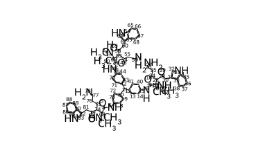 CN[C@](C)(C(=O)Nc1ccc(C(c2ccc(NC(=O)[C@@](C)(NC)C(CCCN)C(=O)Cc3c[nH]c4ccccc34)cc2)c2ccc(NC(=O)[C@@](C)(NC)C(CCCN)C(=O)Cc3c[nH]c4ccccc34)cc2)cc1)C(CCCN)C(=O)Cc1c[nH]c2ccccc12